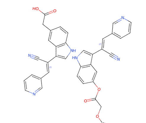 COCC(=O)Oc1ccc2[nH]cc(/C(C#N)=C/c3cccnc3)c2c1.N#C/C(=C\c1cccnc1)c1c[nH]c2ccc(CC(=O)O)cc12